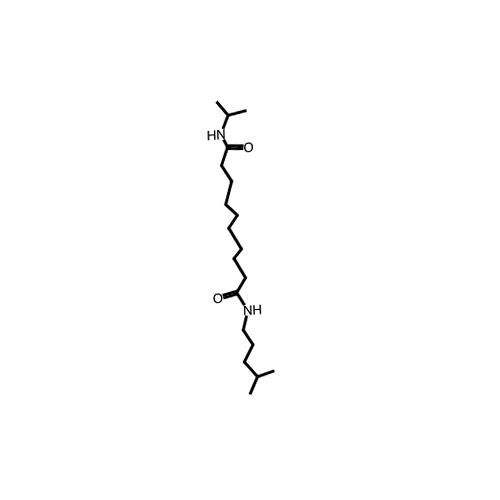 CC(C)CCCNC(=O)CCCCCCCCC(=O)NC(C)C